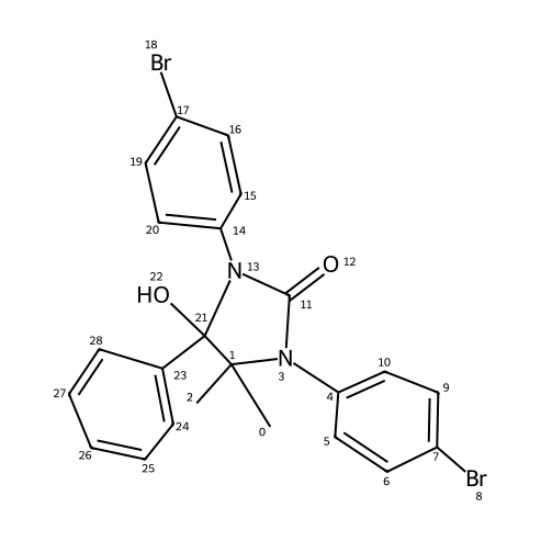 CC1(C)N(c2ccc(Br)cc2)C(=O)N(c2ccc(Br)cc2)C1(O)c1ccccc1